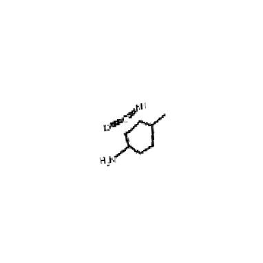 CC1CCC(N)CC1.N=C=O